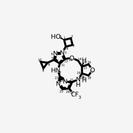 O[C@H]1CCC1n1nc(C2CC2)c2c1OC[C@@H]1COC[C@H]1Nc1nc(ncc1C(F)(F)F)N2